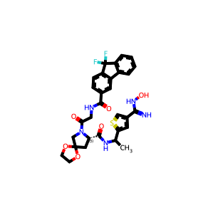 CC(NC(=O)[C@@H]1CC2(CN1C(=O)CNC(=O)c1ccc3c(c1)-c1ccccc1C3(F)F)OCCO2)c1cc(C(=N)NO)cs1